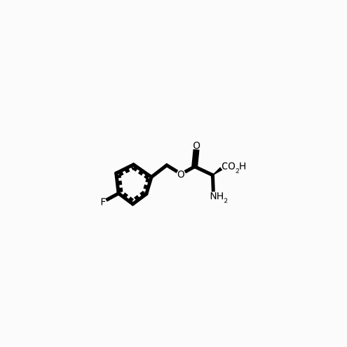 N[C@H](C(=O)O)C(=O)OCc1ccc(F)cc1